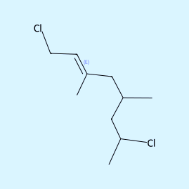 C/C(=C\CCl)CC(C)CC(C)Cl